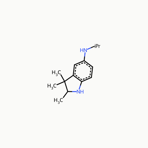 CC(C)Nc1ccc2c(c1)C(C)(C)C(C)N2